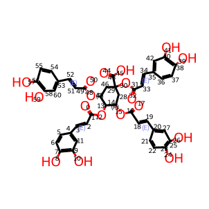 O=C(/C=C/c1ccc(O)c(O)c1)OC1[C@H](OC(=O)/C=C/c2ccc(O)c(O)c2)CC(OC(=O)/C=C/c2ccc(O)c(O)c2)(C(=O)O)C[C@H]1OC(=O)/C=C/c1ccc(O)c(O)c1